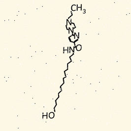 CCCCN1CCN(c2ccc(C(=O)NCCCCCCCCCCCCCCCCCO)cn2)CC1